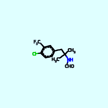 CC(C)(Cc1ccc(Cl)c(C(F)(F)F)c1)NC=O